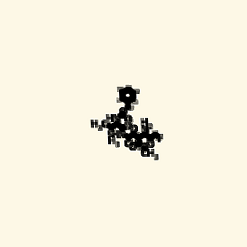 COC(=O)C(C(=O)C(C)NC(=O)C(NC(=O)OCc1ccccc1)C(C)C)C(N)C(=O)CF